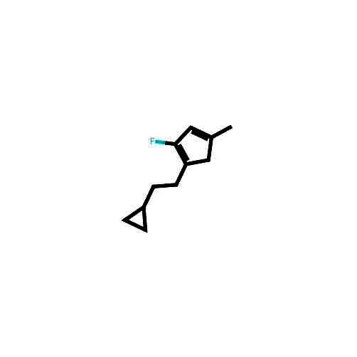 CC1=CC(F)=C(CCC2CC2)C1